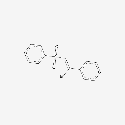 O=S(=O)(/C=C(\Br)c1ccccc1)c1ccccc1